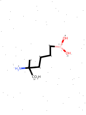 CC(N)(CCCCB(O)O)C(=O)O